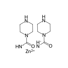 [NH-]C(=O)N1CCNCC1.[NH-]C(=O)N1CCNCC1.[Zn+2]